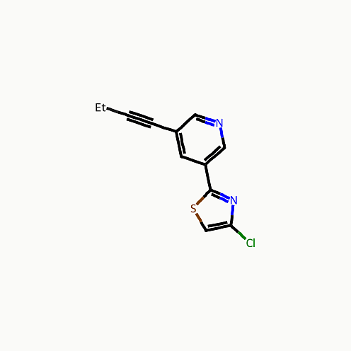 CCC#Cc1cncc(-c2nc(Cl)cs2)c1